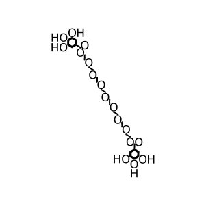 O=C(OCCOCCOCCOCCOCCOCCOCCOCCOC(=O)c1cc(O)c(O)c(O)c1)c1cc(O)c(O)c(O)c1